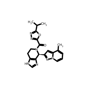 Cc1cccn2nc([C@H]3c4nc[nH]c4CCN3C(=O)c3nnc(C(C)C)o3)cc12